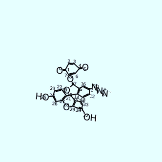 O=C1C=CC(=O)C=C1.[N-]=[N+]=Nc1ccc2c(c1)C(=O)OC21c2ccc(O)cc2Oc2cc(O)ccc21